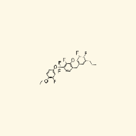 CCCc1cc2c(c(F)c1F)Oc1c(ccc(C(F)(F)Oc3ccc(OCC)c(F)c3)c1F)C2